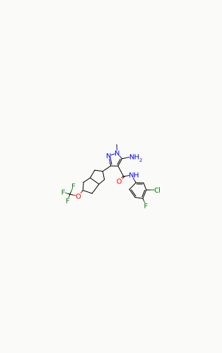 Cn1nc(C2CC3CC(OC(F)(F)F)CC3C2)c(C(=O)Nc2ccc(F)c(Cl)c2)c1N